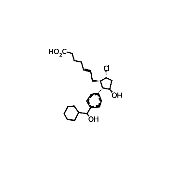 O=C(O)CCCC=CC[C@@H]1[C@@H](c2ccc(C(O)C3CCCCC3)cc2)[C@H](O)C[C@H]1Cl